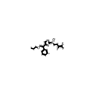 CCCO/N=C(\c1ccccc1)c1cnc([S+]([O-])CCC(F)=C(F)F)s1